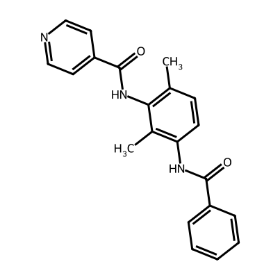 Cc1ccc(NC(=O)c2ccccc2)c(C)c1NC(=O)c1ccncc1